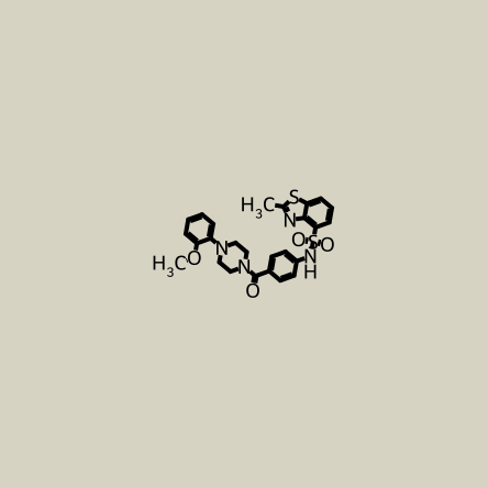 COc1ccccc1N1CCN(C(=O)c2ccc(NS(=O)(=O)c3cccc4sc(C)nc34)cc2)CC1